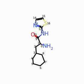 NC(CC1CCCCC1)C(=O)Nc1nccs1